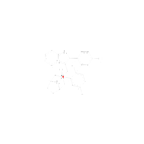 O=C(c1cc(F)ccc1Cl)N1C2CCC1CN(Cc1c(-c3ccc(Cl)cc3)nc3ccccn13)C2